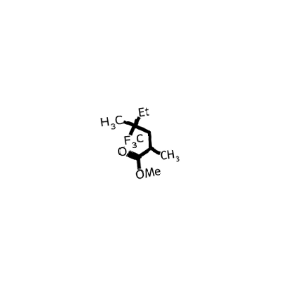 CCC(C)(CC(C)C(=O)OC)C(F)(F)F